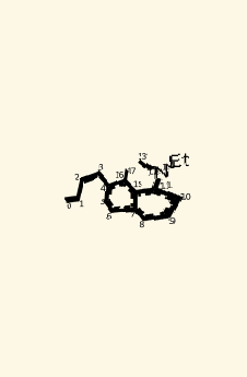 C=C/C=C\c1ccc2cccc(N(C)CC)c2c1C